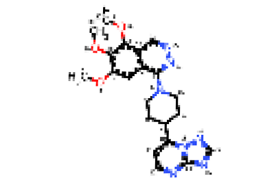 COc1cc2c(N3CCC(c4ccnc5ncnn45)CC3)nncc2c(OC)c1OC